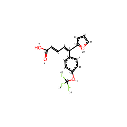 O=C(O)/C=C/C=C(\c1ccc(OC(F)(F)F)cc1)c1ccco1